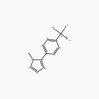 Cn1ccnc1-c1ccc(C(F)(F)F)cc1